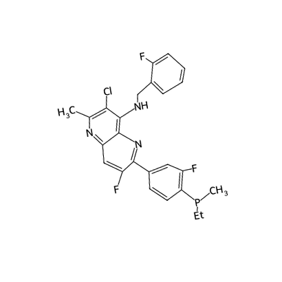 CCP(C)c1ccc(-c2nc3c(NCc4ccccc4F)c(Cl)c(C)nc3cc2F)cc1F